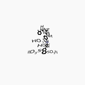 Cc1ccccc1Nc1nc(F)nc(Nc2ccc(S(=O)(=O)O)c(/N=N/c3c(C)nn(-c4cc(S(=O)(=O)O)c5cccc(S(=O)(=O)O)c5c4)c3O)c2)n1